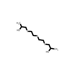 CC(S)CSCCSCCSCC(C)S